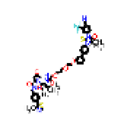 Cc1ncsc1-c1ccc(CNC(=O)[C@@H]2C[C@@H](O)CN2C(=O)C(NC(=O)COCCCOCCOc2cccc(-c3ccc(N4C(=S)N(c5ccc(C#N)c(C(F)(F)F)c5)C(=O)C4(C)C)cc3)c2)C(C)(C)C)cc1